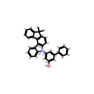 CC1(C)c2ccccc2-c2c1ccc1c2c2ccccc2n1-c1cc(Br)cc(-c2ccccc2)c1